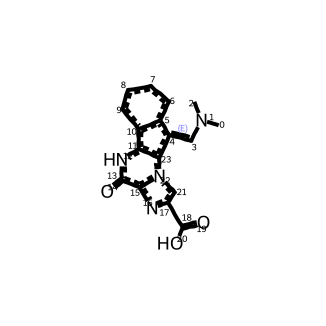 CN(C)/C=c1\c2ccccc2c2[nH]c(=O)c3nc(C(=O)O)cn3c12